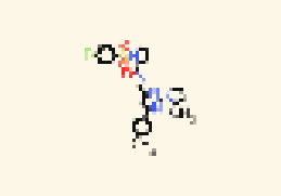 C[C@H]1CCCN1c1nc(CNC(=O)[C@@H]2CCCN2S(=O)(=O)c2ccc(F)cc2)cc(-c2ccc(C(F)(F)F)cc2)n1